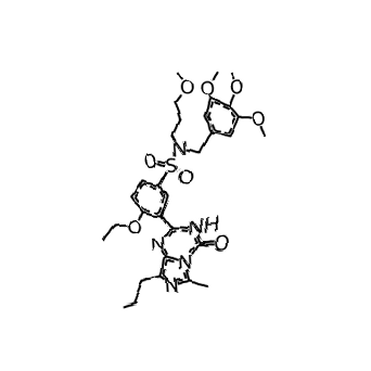 CCCc1nc(C)n2c(=O)[nH]c(-c3cc(S(=O)(=O)N(CCCOC)Cc4cc(OC)c(OC)c(OC)c4)ccc3OCC)nc12